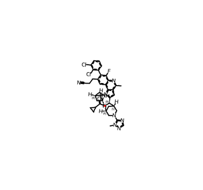 Cc1nc2c(F)c(-c3cccc(Cl)c3Cl)c(CCC#N)cc2c2c1cc([C@H]1[C@H]3C[C@H](CN(c4ncnn4C)C3)N1C(=O)C1CC1)n2[C@H]1[C@H]2CN[C@@H]1C2